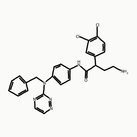 NCCC(C(=O)Nc1ccc(N(Cc2ccccc2)c2nccnn2)cc1)c1ccc(Cl)c(Cl)c1